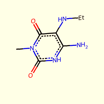 CCNc1c(N)[nH]c(=O)n(C)c1=O